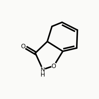 O=C1NOC2=CC=CCC12